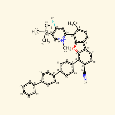 Cc1ccc2c(oc3c(-c4ccc(-c5ccc(-c6ccccc6)cc5)cc4)c(C#N)ccc32)c1-c1cc(F)c([Si](C)(C)C)c[n+]1C